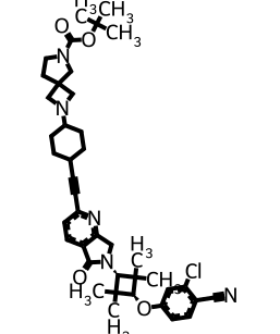 CC(C)(C)OC(=O)N1CCC2(C1)CN(C1CCC(C#Cc3ccc4c(n3)CN([C@H]3C(C)(C)[C@H](Oc5ccc(C#N)c(Cl)c5)C3(C)C)C4=O)CC1)C2